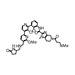 CNCCC(=O)N1CCc2c(nc(C(=O)Nc3cccc(-c4nccc(-c5ccc(CNCC6CCC(=O)N6)c(OC)n5)c4Cl)c3Cl)n2C)C1